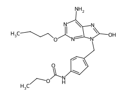 CCCCOc1nc(N)c2nc(O)n(Cc3ccc(NC(=O)OCC)cc3)c2n1